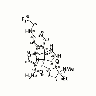 CCC1(NC)CCN(CC2(N3C(C(N)=O)=COC3c3ccnc(NCC(F)(F)F)c3)CNNC2(C)C)C1=O